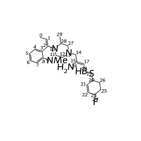 C/C=C(\c1ccccc1NC)N1CCN(C/C(N)=C/BSC2C=CC(F)CC2)CC1C